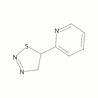 c1ccc(C2CN=NS2)nc1